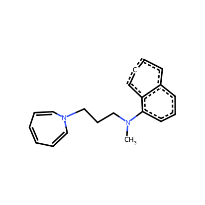 CN(CCCN1C=CC=CC=C1)c1cccc2ccccc12